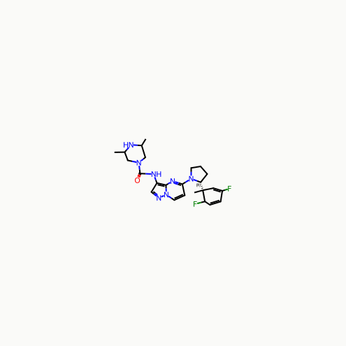 CC1CN(C(=O)Nc2cnn3ccc(N4CCC[C@@H]4C4(C)C=C(F)C=CC4F)nc23)CC(C)N1